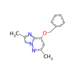 Cc1cn2nc(C)cc(OCc3ccccc3)c2n1